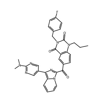 CCCn1c(=O)n(Cc2ccc(F)cc2)c(=O)c2cc(C(=O)c3nc(-c4cnc(N(C)C)nc4)c4ccccn34)ccc21